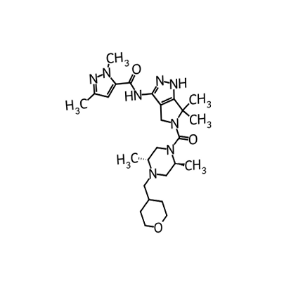 Cc1cc(C(=O)Nc2n[nH]c3c2CN(C(=O)N2C[C@@H](C)N(CC4CCOCC4)C[C@@H]2C)C3(C)C)n(C)n1